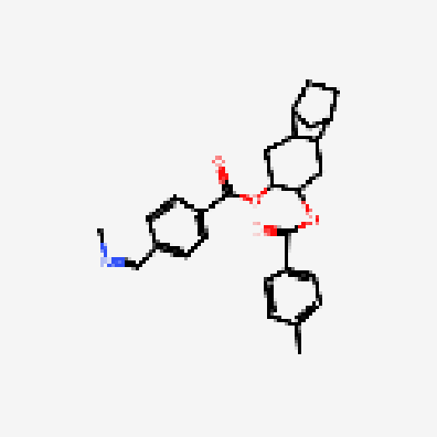 C/N=C\c1ccc(C(=O)OC2CC3C4CCC(C4)C3CC2OC(=O)c2ccc(C)cc2)cc1